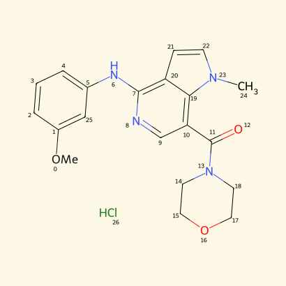 COc1cccc(Nc2ncc(C(=O)N3CCOCC3)c3c2ccn3C)c1.Cl